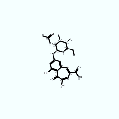 CC[C@H]1O[C@@H](Oc2cc(O)c3c(=O)c(O)cc(C(=O)O)cc3c2)[C@H](OC(C)=O)[C@@H](C)[C@@H]1C